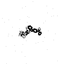 Cc1ncnc(C)c1C(=O)N1CC2CN(CCC3(c4cccc(F)c4)CCN(C(=O)c4ccccc4)CC3)CC2C1